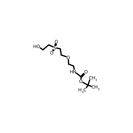 CC(C)(C)OC(=O)NCCOCCS(=O)(=O)CCO